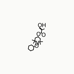 CC(=CO)C(=O)OC1CC(C)(C)N(OC2CCCCC2)C(C)(C)C1